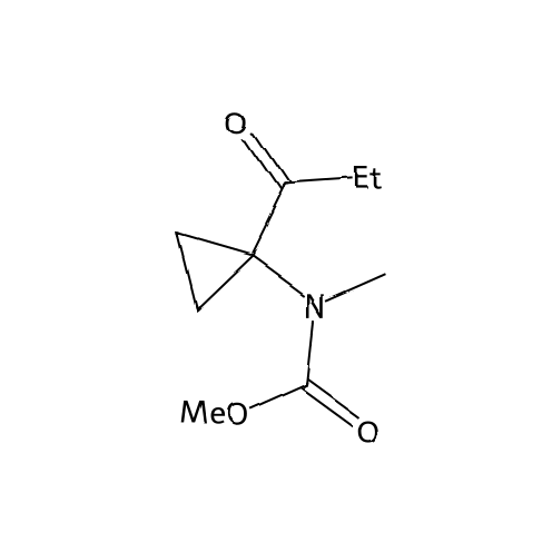 CCC(=O)C1(N(C)C(=O)OC)CC1